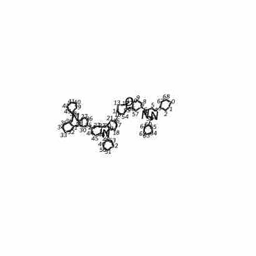 c1ccc(-c2cc(-c3ccc4oc5ccc(-c6ccc7c(c6)c6cc(-c8ccc9c(c8)c8ccccc8n9-c8ccccc8)ccc6n7-c6ccccc6)cc5c4c3)nc(-c3ccccc3)n2)cc1